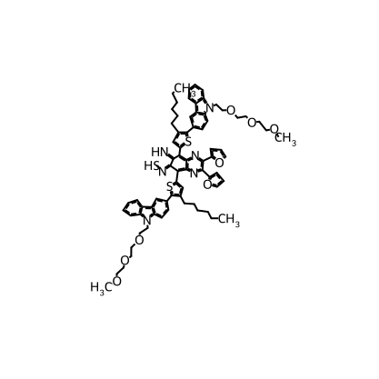 CCCCCCc1cc(C2=c3nc(-c4ccco4)c(-c4ccco4)nc3=C(c3cc(CCCCCC)c(-c4ccc5c(c4)c4ccccc4n5CCOCCOCCOC)s3)/C(=N/S)C2=N)sc1-c1ccc2c(c1)c1ccccc1n2CCOCCOCCOC